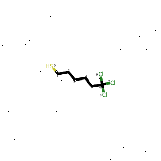 SCCCCCC(Cl)(Cl)Cl